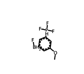 BF.COc1cccc([PH](F)(F)F)c1